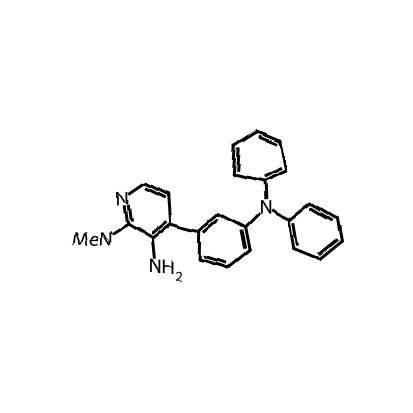 CNc1nccc(-c2cccc(N(c3ccccc3)c3ccccc3)c2)c1N